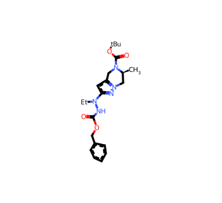 CCN(NC(=O)OCc1ccccc1)c1cc2n(n1)C[C@H](C)N(C(=O)OC(C)(C)C)C2